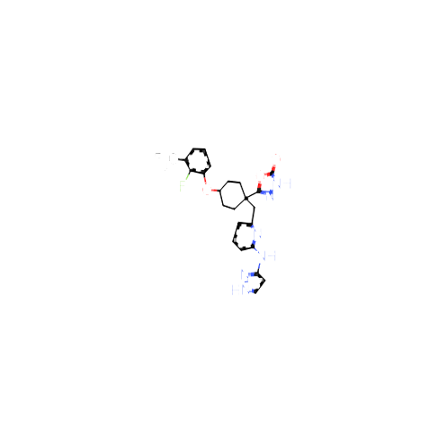 O=c1[nH]nc(C2(Cc3cccc(Nc4cc[nH]n4)n3)CCC(Oc3cccc(C(F)(F)F)c3F)CC2)o1